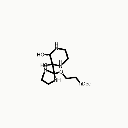 CCCCCCCCCCCCOC1(C2(O)NCCNC2O)NCCN1